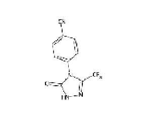 N#Cc1ccc(-n2c(C(F)(F)F)n[nH]c2=O)cc1